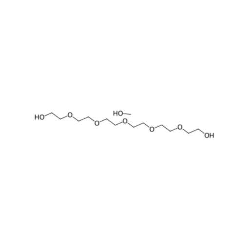 CO.OCCOCCOCCOCCOCCOCCO